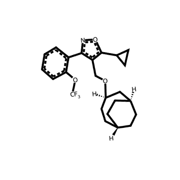 FC(F)(F)Oc1ccccc1-c1noc(C2CC2)c1CO[C@@H]1CC[C@H]2CC[C@@H](CC2)C1